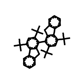 CC(C)(C)c1cc(C(C)(C)C)c(-c2c(C(C)(C)C)cc(C(C)(C)C)c3c2Cc2ccccc2-3)c2c1-c1ccccc1C2